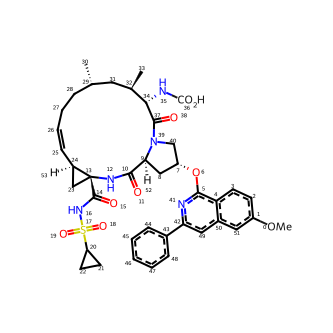 COc1ccc2c(O[C@@H]3C[C@H]4C(=O)N[C@]5(C(=O)NS(=O)(=O)C6CC6)C[C@H]5C=CCC[C@H](C)C[C@@H](C)[C@H](NC(=O)O)C(=O)N4C3)nc(-c3ccccc3)cc2c1